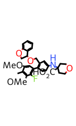 COc1cc(-c2ccc(NC3(C(=O)O)CCOCC3)cc2CO[C@H]2COc3ccccc32)c(F)c(OC)c1C